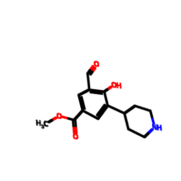 COC(=O)c1cc(C=O)c(O)c(C2CCNCC2)c1